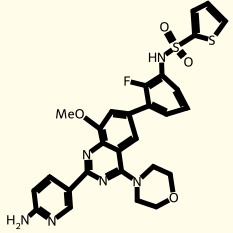 COc1cc(-c2cccc(NS(=O)(=O)c3cccs3)c2F)cc2c(N3CCOCC3)nc(-c3ccc(N)nc3)nc12